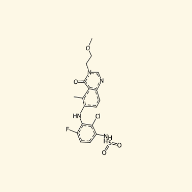 COCCn1cnc2ccc(Nc3c(F)ccc(N[SH](=O)=O)c3Cl)c(C)c2c1=O